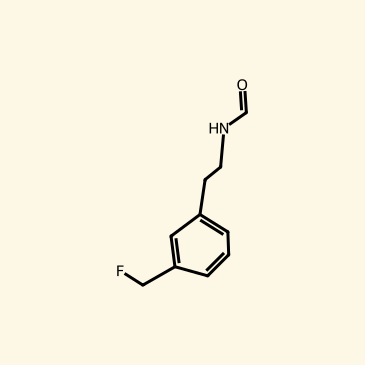 O=CNCCc1cccc(CF)c1